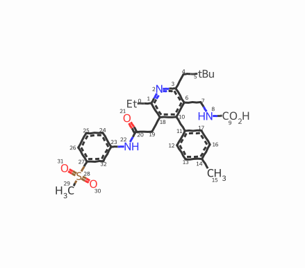 CCc1nc(CC(C)(C)C)c(CNC(=O)O)c(-c2ccc(C)cc2)c1CC(=O)Nc1cccc(S(C)(=O)=O)c1